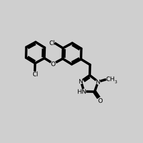 Cn1c(Cc2ccc(Cl)c(Oc3ccccc3Cl)c2)n[nH]c1=O